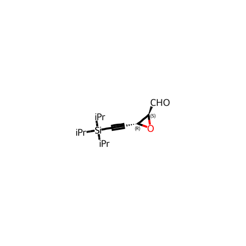 CC(C)[Si](C#C[C@H]1O[C@@H]1C=O)(C(C)C)C(C)C